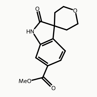 COC(=O)c1ccc2c(c1)NC(=O)C21CCOCC1